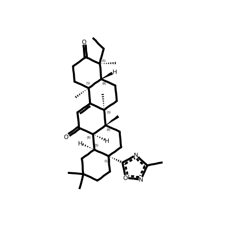 CC[C@]1(C)C(=O)CC[C@]2(C)C3=CC(=O)[C@@H]4[C@@H]5CC(C)(C)CC[C@]5(c5nc(C)no5)CC[C@@]4(C)[C@]3(C)CC[C@@H]12